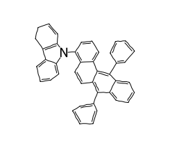 C1=Cc2c(c3ccccc3n2-c2cccc3c2ccc2c(-c4ccccc4)c4ccccc4c(-c4ccccc4)c23)CC1